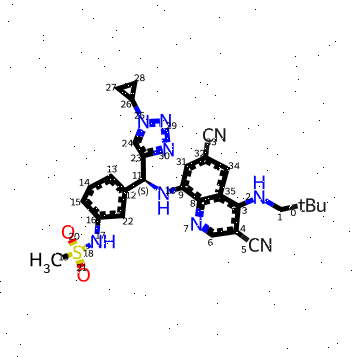 CC(C)(C)CNc1c(C#N)cnc2c(N[C@@H](c3cccc(NS(C)(=O)=O)c3)c3cn(C4CC4)nn3)cc(C#N)cc12